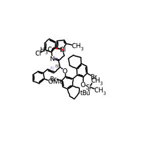 COc1ccccc1/C=C/[C@H](Oc1c(Br)cc2c(c1-c1c3c(cc(Br)c1O[Si](C)(C)C(C)(C)C)CCCC3)CCCC2)/C(Cn1c(C)ccc1C)=N/c1c(Cl)cccc1Cl